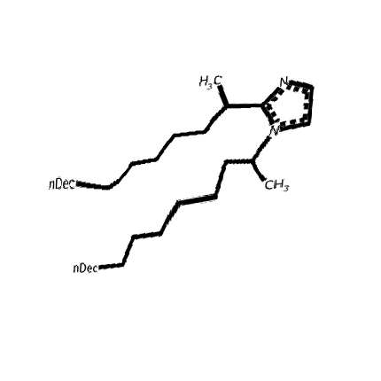 CCCCCCCCCCCCCCCCC(C)n1ccnc1C(C)CCCCCCCCCCCCCCC